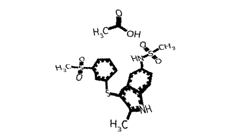 CC(=O)O.Cc1[nH]c2ccc(NS(C)(=O)=O)cc2c1Sc1cccc(S(C)(=O)=O)c1